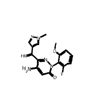 COc1cccc(F)c1-n1nc(C(=N)c2cnn(C)c2)c(N)cc1=O